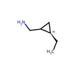 CC[C@@H]1CC1CN